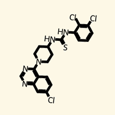 S=C(Nc1cccc(Cl)c1Cl)NC1CCN(c2ncnc3cc(Cl)ccc23)CC1